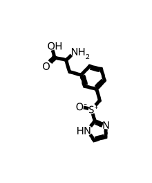 NC(Cc1cccc(C[S+]([O-])c2ncc[nH]2)c1)C(=O)O